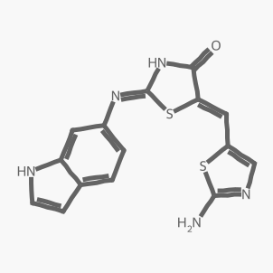 Nc1ncc(/C=C2\SC(=Nc3ccc4cc[nH]c4c3)NC2=O)s1